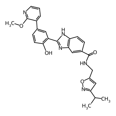 COc1ncccc1-c1ccc(O)c(-c2nc3cc(C(=O)NCc4cc(C(C)C)no4)ccc3[nH]2)c1